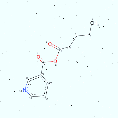 CCC[CH]C(=O)OC(=O)c1cccnc1